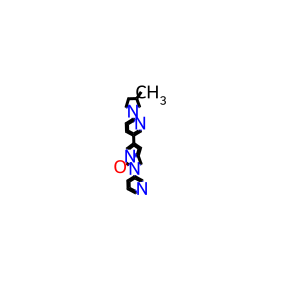 CC1CCN(c2ccc(-c3cc4n(c3)C(=O)N(c3cccnc3)C4)cn2)C1